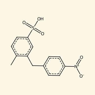 Cc1ccc(S(=O)(=O)O)cc1Cc1ccc([N+](=O)[O-])cc1